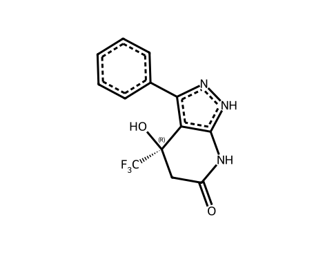 O=C1C[C@](O)(C(F)(F)F)c2c(-c3ccccc3)n[nH]c2N1